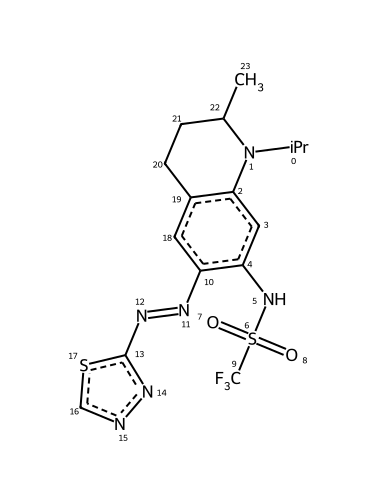 CC(C)N1c2cc(NS(=O)(=O)C(F)(F)F)c(N=Nc3nncs3)cc2CCC1C